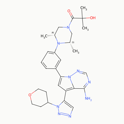 C[C@@H]1CN(C(=O)C(C)(C)O)C[C@H](C)N1c1cccc(-c2cc(-c3cnnn3C3CCOCC3)c3c(N)ncnn23)c1